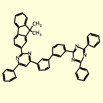 CC1(C)c2ccccc2-c2ccc(-c3nc(-c4ccccc4)cc(-c4cccc(-c5cccc(-c6nc(-c7ccccc7)nc(-c7ccccc7)n6)c5)c4)n3)cc21